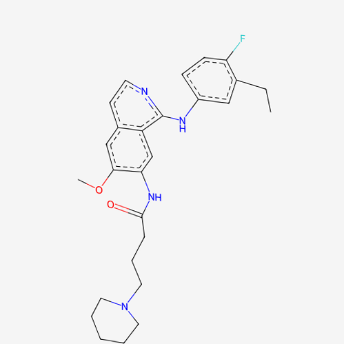 CCc1cc(Nc2nccc3cc(OC)c(NC(=O)CCCN4CCCCC4)cc23)ccc1F